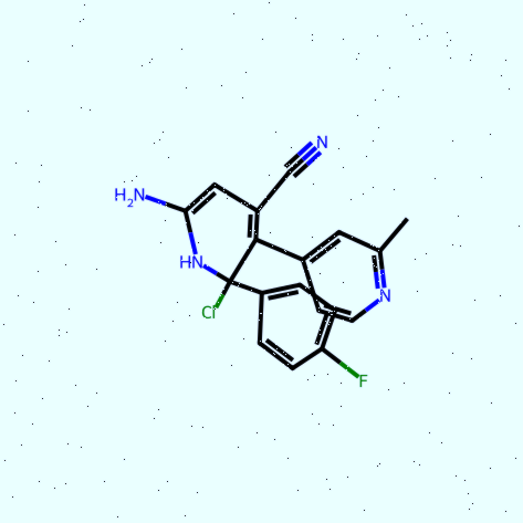 Cc1cc(C2=C(C#N)C=C(N)NC2(Cl)c2ccc(F)cc2)ccn1